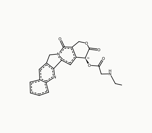 CCNCC(=O)O[C@@H]1C(=O)OCc2c1cc1n(c2=O)Cc2cc3ccccc3nc2-1